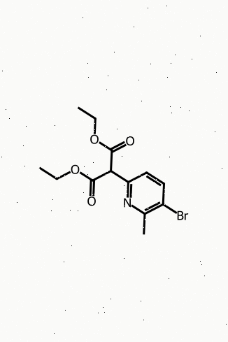 CCOC(=O)C(C(=O)OCC)c1ccc(Br)c(C)n1